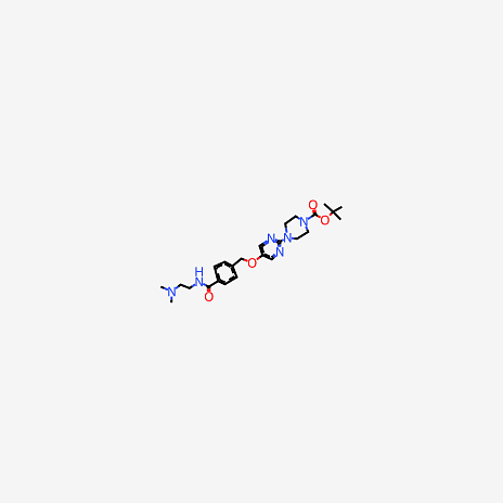 CN(C)CCNC(=O)c1ccc(COc2cnc(N3CCN(C(=O)OC(C)(C)C)CC3)nc2)cc1